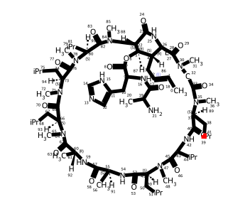 C/C=C/C[C@@H]1[C@@H](OC(=O)C(Cc2cnc[nH]2)NC(=O)C(C)N)[C@H]2C(=O)N[C@@]1(CC)C(=O)N(C)CC(=O)N(C)[C@@H](CC(C)C)C(=O)NC(C(C)C)C(=O)N(C)[C@@H](CC(C)C)C(=O)N[C@@H](C)C(=O)N[C@H](C)C(=O)N(C)[C@@H](CC(C)C)C(=O)N(C)[C@@H](CC(C)C)C(=O)N(C)[C@@H](C(C)C)C(=O)N2C